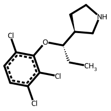 CC[C@H](Oc1c(Cl)ccc(Cl)c1Cl)[C@H]1CCNC1